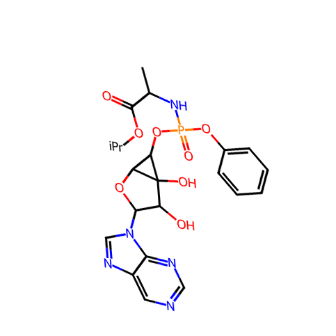 CC(C)OC(=O)C(C)NP(=O)(Oc1ccccc1)OC1C2OC(n3cnc4cncnc43)C(O)C21O